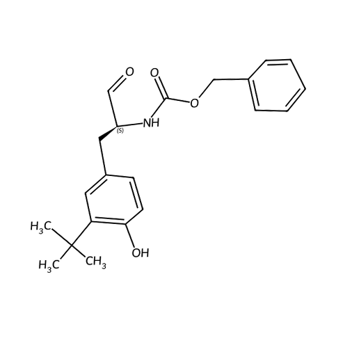 CC(C)(C)c1cc(C[C@@H](C=O)NC(=O)OCc2ccccc2)ccc1O